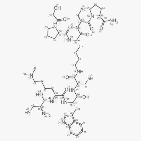 CC(=O)C[C@H](NC(=O)[C@H](CCCCNC(=O)[C@H](CS)NC(=O)[C@H](Cc1c[nH]c2ccccc12)NC(=O)[C@H](CCCCN(C)C)NC(O)[C@@H](N)CS)NC(=O)[C@@H]1CCCN1C(=O)CO)C(=O)N1CCC[C@H]1C(N)=O